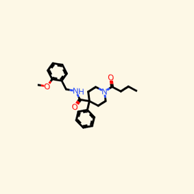 CCCC(=O)N1CCC(C(=O)NCc2ccccc2OC)(c2ccccc2)CC1